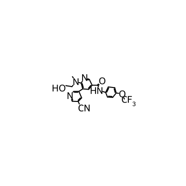 CN(CCO)c1ncc(C(=O)Nc2ccc(OC(F)(F)F)cc2)cc1-c1cncc(C#N)c1